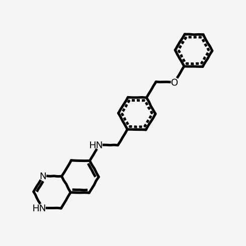 C1=NC2CC(NCc3ccc(COc4ccccc4)cc3)=CC=C2CN1